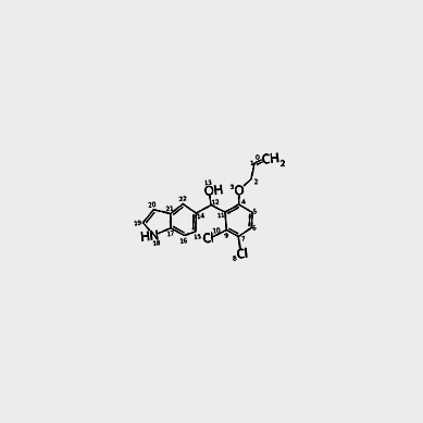 C=CCOc1ccc(Cl)c(Cl)c1C(O)c1ccc2[nH]ccc2c1